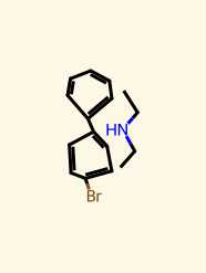 Brc1ccc(-c2ccccc2)cc1.CCNCC